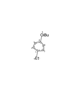 C[CH]c1ccc(OCC(C)C)cc1